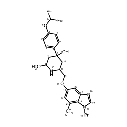 CC1CC(O)(c2ccc(OC(F)F)cc2)CC(COc2cc(C(F)(F)F)c3c(c2)ncn3C(C)C)N1